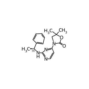 C[C@H](Nc1nccc(N2CC(C)(C)OC2=O)n1)c1ccccc1